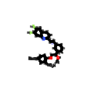 CCOC(COc1ccc(OC)cc1C(=O)O)c1cccc(/C=C/c2ccc3cc(F)c(F)cc3n2)c1